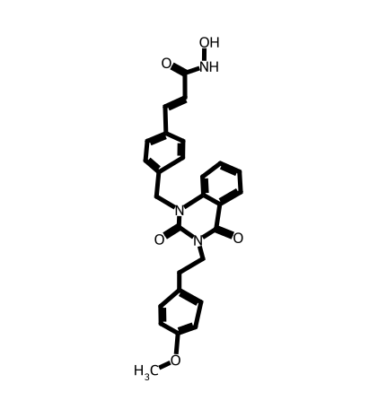 COc1ccc(CCn2c(=O)c3ccccc3n(Cc3ccc(C=CC(=O)NO)cc3)c2=O)cc1